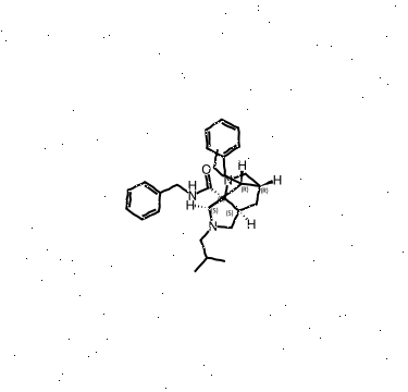 CCN1C[C@@H]2C[C@H]3CN(CC(C)C)[C@@H]([C@@H]2Cc2ccccc2)[C@]31C(=O)NCc1ccccc1